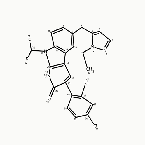 CCn1nccc1Cc1ccc2c(c1)c1cc(-c3ccc(Cl)cc3Cl)c(=O)[nH]c1n2C(F)F